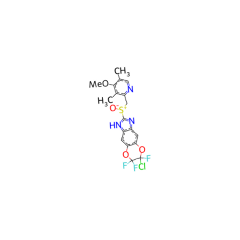 COc1c(C)cnc(C[S+]([O-])c2nc3cc4c(cc3[nH]2)OC(F)(F)C(F)(Cl)O4)c1C